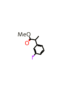 COC(=O)C(C)c1cccc(I)c1